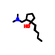 CCCC=CC1(O)CCCC1CN(C)C